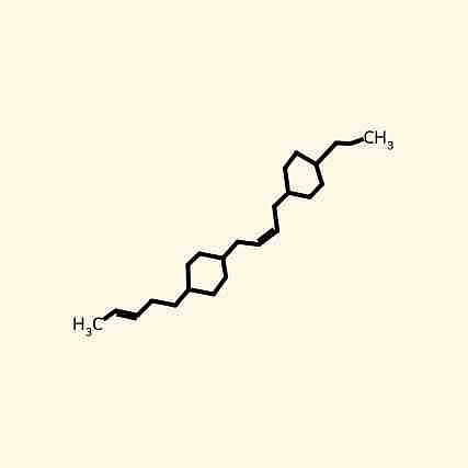 C/C=C/CCC1CCC(C/C=C\CC2CCC(CCC)CC2)CC1